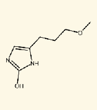 COCCCc1cnc(O)[nH]1